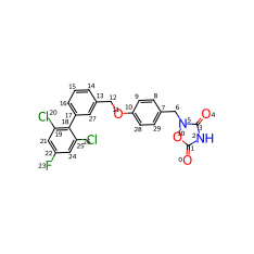 O=c1[nH]c(=O)n(Cc2ccc(OCc3cccc(-c4c(Cl)cc(F)cc4Cl)c3)cc2)o1